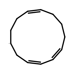 [CH]1CC=CC=CCCCC=CCC1